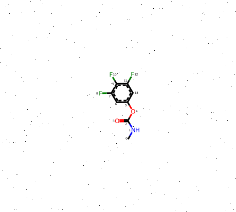 CNC(=O)Oc1cc(F)c(F)c(F)c1